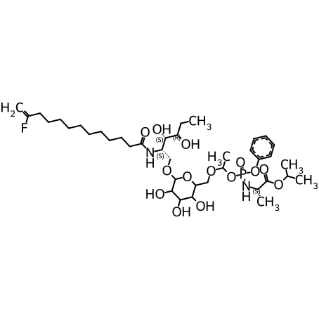 C=C(F)CCCCCCCCCCC(=O)N[C@@H](COC1OC(COC(C)OP(=O)(N[C@@H](C)C(=O)OC(C)C)Oc2ccccc2)C(O)C(O)C1O)[C@H](O)[C@H](O)CC